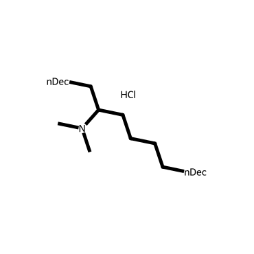 CCCCCCCCCCCCCCC(CCCCCCCCCCC)N(C)C.Cl